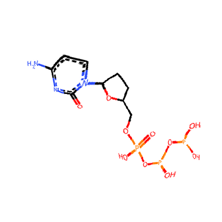 Nc1ccn(C2CCC(COP(=O)(O)OP(O)OP(O)O)O2)c(=O)n1